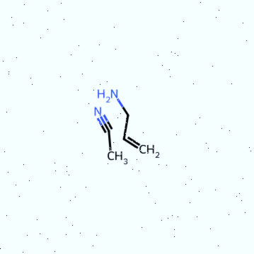 C=CCN.CC#N